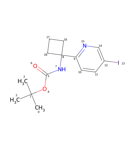 CC(C)(C)OC(=O)NC1(c2ccc(I)cn2)CCC1